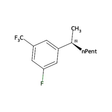 CCCCC[C@H](C)c1cc(F)cc(C(F)(F)F)c1